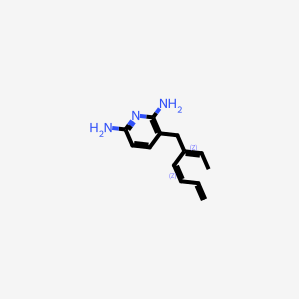 C=C/C=C\C(=C/C)Cc1ccc(N)nc1N